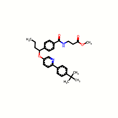 CCCC(Oc1ccc(-c2ccc(C(C)(C)C)cc2)nc1)c1ccc(C(=O)NCCC(=O)OC)cc1